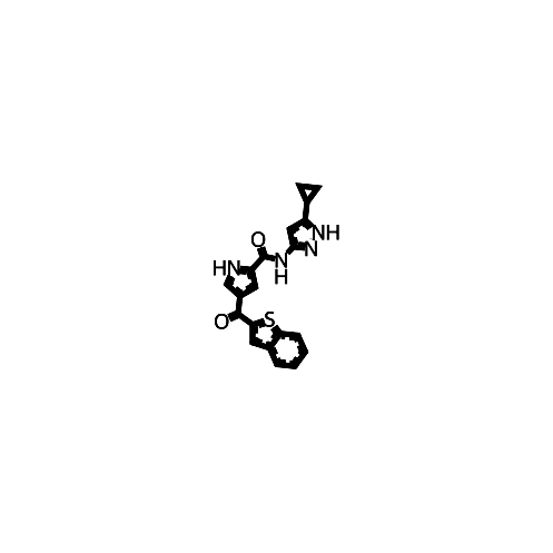 O=C(Nc1cc(C2CC2)[nH]n1)c1cc(C(=O)c2cc3ccccc3s2)c[nH]1